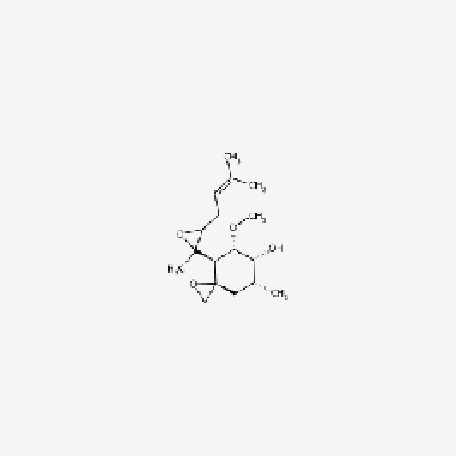 CO[C@@H]1[C@H](O)[C@H](C)C[C@]2(CO2)[C@H]1C1(C)OC1CC=C(C)C